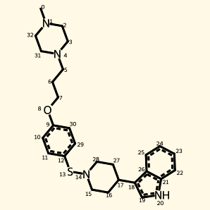 CN1CCN(CCCOc2ccc(SN3CCC(c4c[nH]c5ccccc45)CC3)cc2)CC1